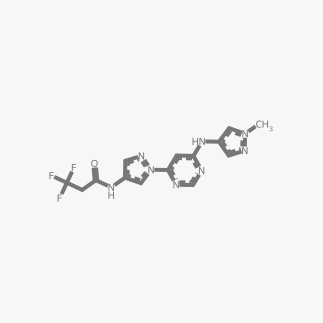 Cn1cc(Nc2cc(-n3cc(NC(=O)CC(F)(F)F)cn3)ncn2)cn1